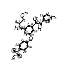 COCC(C)Nc1cc(C(=O)Nc2ccn(C)n2)cc(Oc2ccc(S(C)(=O)=O)cc2)n1